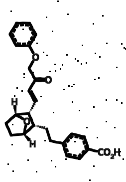 O=C(/C=C/[C@@H]1[C@H](CCc2ccc(C(=O)O)cc2)[C@@H]2CC[C@H]1O2)COc1ccccc1